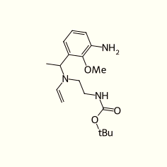 C=CN(CCNC(=O)OC(C)(C)C)C(C)c1cccc(N)c1OC